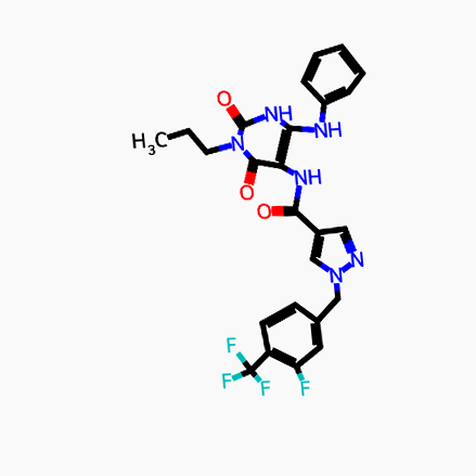 CCCn1c(=O)[nH]c(Nc2ccccc2)c(NC(=O)c2cnn(Cc3ccc(C(F)(F)F)c(F)c3)c2)c1=O